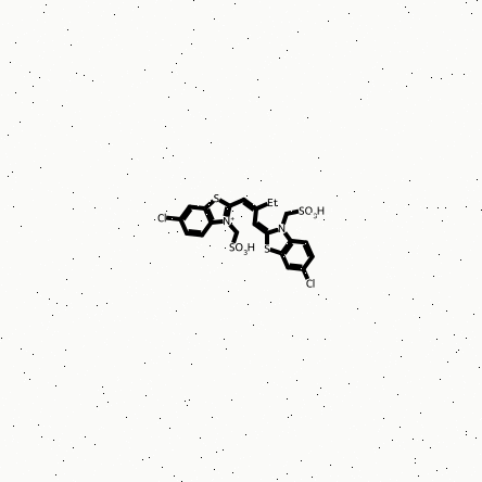 CCC(=Cc1sc2cc(Cl)ccc2[n+]1CS(=O)(=O)O)C=C1Sc2cc(Cl)ccc2N1CS(=O)(=O)O